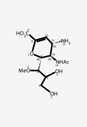 COC(C(O)CO)[C@@H]1OC(C(=O)O)=C[C@H](N)[C@H]1NC(C)=O